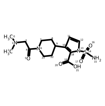 CN(C)CC(=O)N1CCC(c2ccn(S(N)(=O)=O)c2C(=O)O)CC1